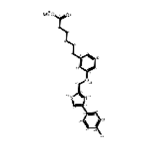 COC(=O)CCCCCc1cccc(OCc2nc(-c3ccc(C)cc3)cs2)c1